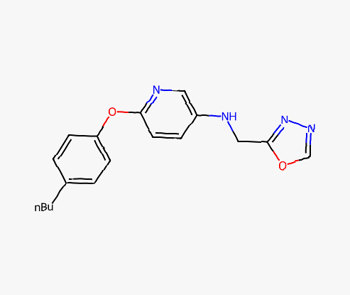 CCCCc1ccc(Oc2ccc(NCc3nnco3)cn2)cc1